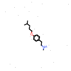 CNCCc1ccc(OCCCC(C)C)cc1